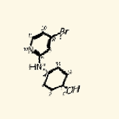 O[C@H]1CC[C@H](Nc2cc(Br)ccn2)CC1